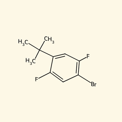 CC(C)(C)c1cc(F)c(Br)cc1F